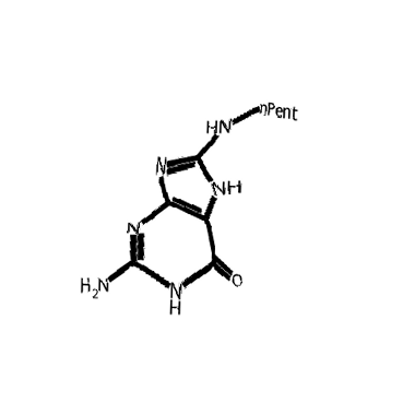 CCCCCNc1nc2nc(N)[nH]c(=O)c2[nH]1